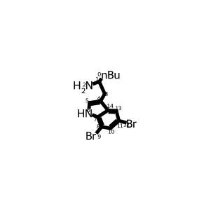 CCCCC(N)Cc1c[nH]c2c(Br)cc(Br)cc12